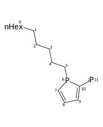 CCCCCCCCCCCp1cccc1[P]